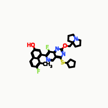 Cc1c(F)ccc2cc(O)cc(-c3ncc4c(SC5CCCC5)nc(OCC56CCCN5CCC6)nc4c3F)c12